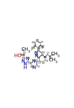 CC[C@H](O)c1n[nH]c(-c2cncc(C3CC[C@H](CC(C)C)c4cc(-c5c(F)cccc5F)nnc43)n2)n1